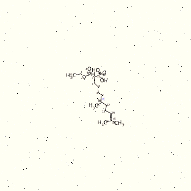 CCO[PH](=O)C(CCC/C=C(\C)CCC=C(C)C)P(=O)(O)O